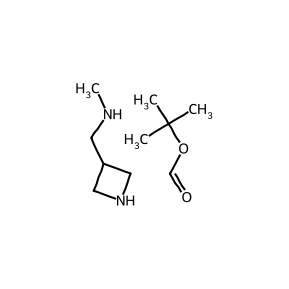 CC(C)(C)OC=O.CNCC1CNC1